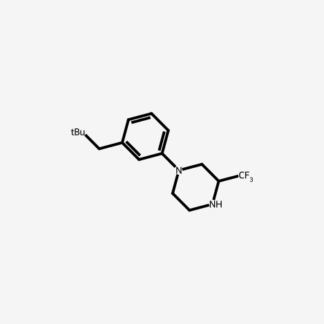 CC(C)(C)Cc1cccc(N2CCNC(C(F)(F)F)C2)c1